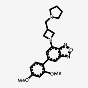 COc1ccc(-c2cc(N3CC(CN4CCCC4)C3)c3nonc3c2)c(OC)c1